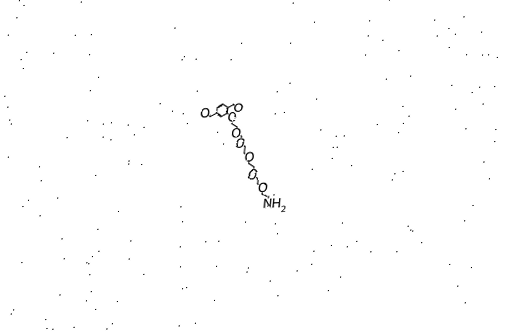 NCCOCCOCCOCCOCOCCOc1cc(C=O)ccc1C=O